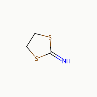 N=C1SCCS1